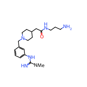 CNC(=N)Nc1cccc(CN2CCC(CC(=O)NCCCN)CC2)c1